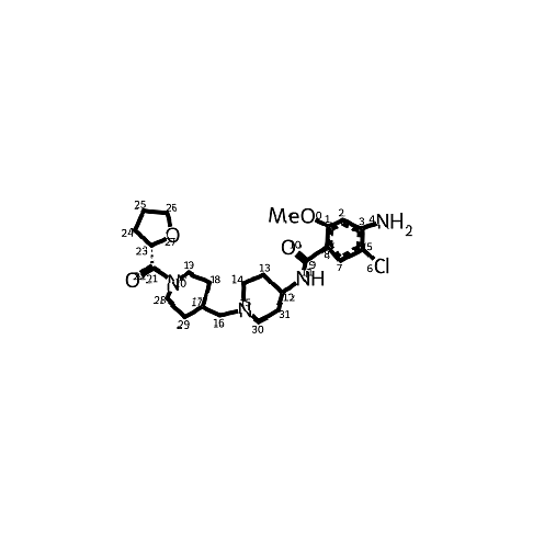 COc1cc(N)c(Cl)cc1C(=O)NC1CCN(CC2CCN(C(=O)[C@@H]3CCCO3)CC2)CC1